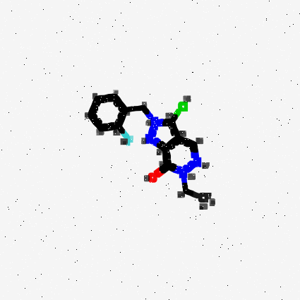 O=c1c2nn(Cc3ccccc3F)c(Cl)c2cnn1CC(F)(F)F